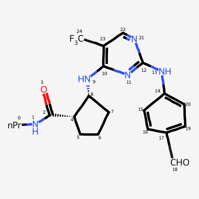 CCCNC(=O)[C@H]1CCC[C@H]1Nc1nc(Nc2ccc(C=O)cc2)ncc1C(F)(F)F